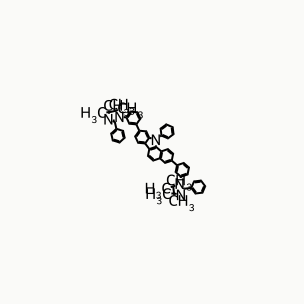 CC1(C)N=C(c2ccccc2)N(c2cccc(-c3ccc4c(ccc5c6ccc(-c7cccc(N8C(c9ccccc9)=NC(C)(C)C8(C)C)c7)cc6n(-c6ccccc6)c45)c3)c2)C1(C)C